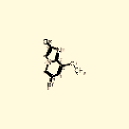 COc1cc(Br)cn2cc(Cl)nc12